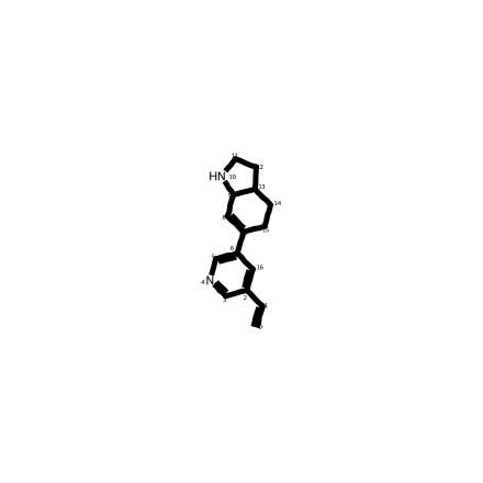 C=Cc1cncc(C2=CC3NCCC3CC2)c1